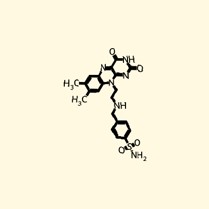 Cc1cc2nc3c(=O)[nH]c(=O)nc-3n(CCNCc3ccc(S(N)(=O)=O)cc3)c2cc1C